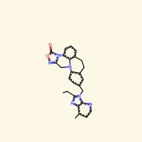 CCc1nc2c(C)ccnc2n1Cc1ccc2c(c1)CCc1ccccc1N2Cc1noc(=O)[nH]1